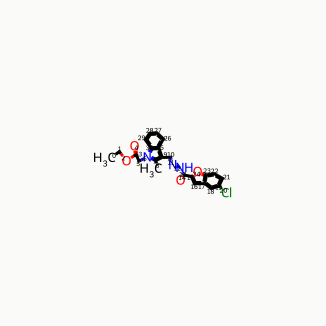 CCOC(=O)Cn1c(C)c(C=NNC(=O)c2cc3cc(Cl)ccc3o2)c2ccccc21